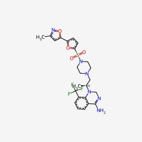 Cc1cc(-c2ccc(S(=O)(=O)N3CCN(C[C@H](C)N4CN=C(N)c5cccc(C(F)(F)F)c54)CC3)o2)on1